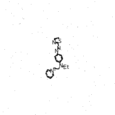 CCN(CC[n+]1ccccc1)c1ccc(N=Nc2nccs2)cc1